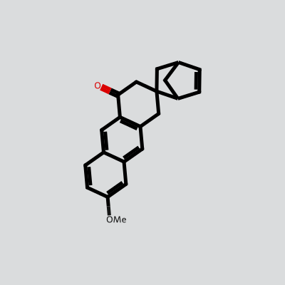 COc1ccc2cc3c(cc2c1)CC1(CC3=O)CC2C=CC1C2